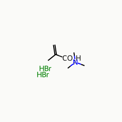 Br.Br.C=C(C)C(=O)O.CN(C)C